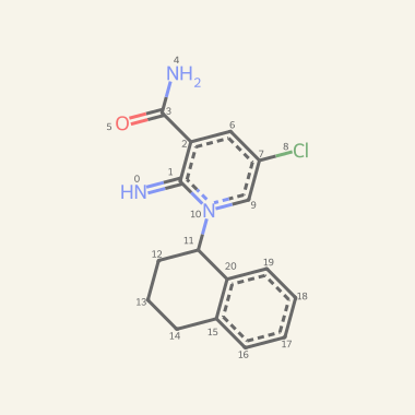 N=c1c(C(N)=O)cc(Cl)cn1C1CCCc2ccccc21